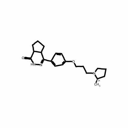 C[C@@H]1CCCN1CCCOc1ccc(C2=NNC(=O)C3CCCC23)cc1